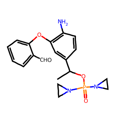 CC(OP(=O)(N1CC1)N1CC1)c1ccc(N)c(Oc2ccccc2C=O)c1